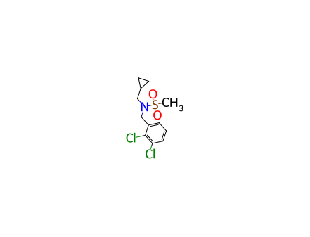 CS(=O)(=O)N(Cc1cccc(Cl)c1Cl)CC1CC1